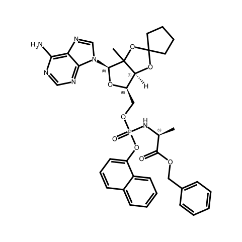 C[C@H](NP(=O)(OC[C@H]1O[C@@H](n2cnc3c(N)ncnc32)C2(C)OC3(CCCC3)O[C@@H]12)Oc1cccc2ccccc12)C(=O)OCc1ccccc1